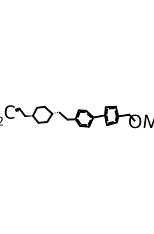 C=CC[C@H]1CC[C@H](CCc2ccc(-c3ccc(COC)cc3)cc2)CC1